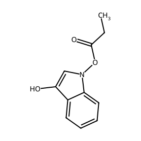 CCC(=O)On1cc(O)c2ccccc21